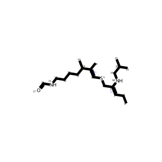 CC/C=C(/CS/C=C(\C)C(C)CCCCNC=O)NCC(C)C